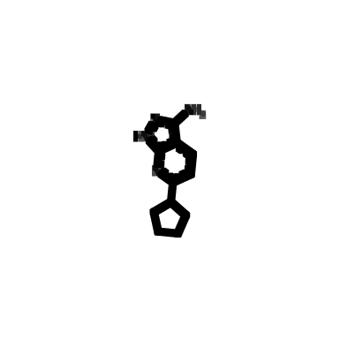 Nc1n[nH]c2nc(C3CCCC3)ccc12